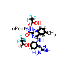 CCCCCNC(=O)c1nc(NC2CCCCC2NC(=N)N)c2cc(C)ccc2n1.O=C(O)C(F)(F)F.O=C(O)C(F)(F)F